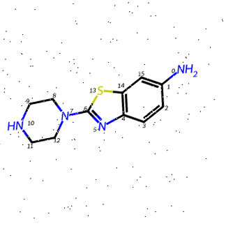 Nc1ccc2nc(N3CCNCC3)sc2c1